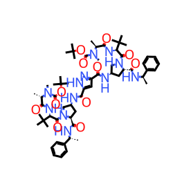 C[C@@H](NC(=O)[C@@H]1C[C@H](NC(=O)c2cc(C(=O)N[C@H]3C[C@@H](C(=O)N[C@H](C)c4ccccc4)N(C(=O)[C@@H](NC(=O)[C@H](C)N(C)C(=O)OC(C)(C)C)C(C)(C)C)C3)[nH]n2)CN1C(=O)[C@@H](NC(=O)[C@H](C)N(C)C(=O)OC(C)(C)C)C(C)(C)C)c1ccccc1